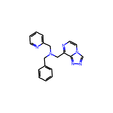 c1ccc(CN(Cc2ccccn2)Cc2nccn3cnnc23)cc1